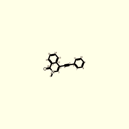 Cn1cc(C#Cc2ccccc2)c2ccccc2c1=O